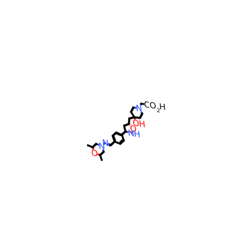 CC1CN(N=Cc2ccc(C3CC(CC4(O)CCN(CC(=O)O)CC4)ON3)cc2)CC(C)O1